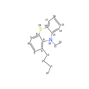 CCCCc1cccc2c1N(CC)c1ccccc1S2